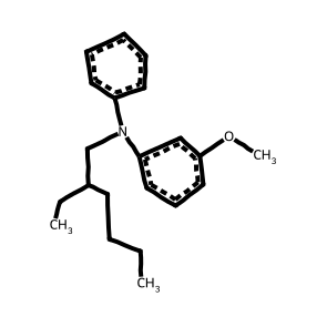 CCCCC(CC)CN(c1ccccc1)c1cccc(OC)c1